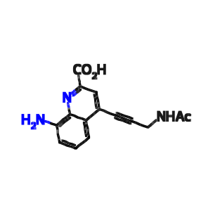 CC(=O)NCC#Cc1cc(C(=O)O)nc2c(N)cccc12